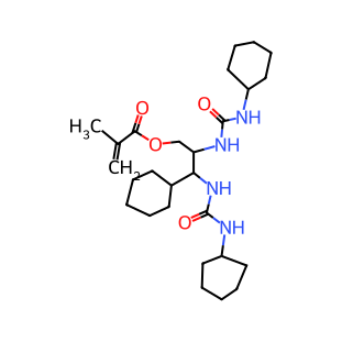 C=C(C)C(=O)OCC(NC(=O)NC1CCCCC1)C(NC(=O)NC1CCCCC1)C1CCCCC1